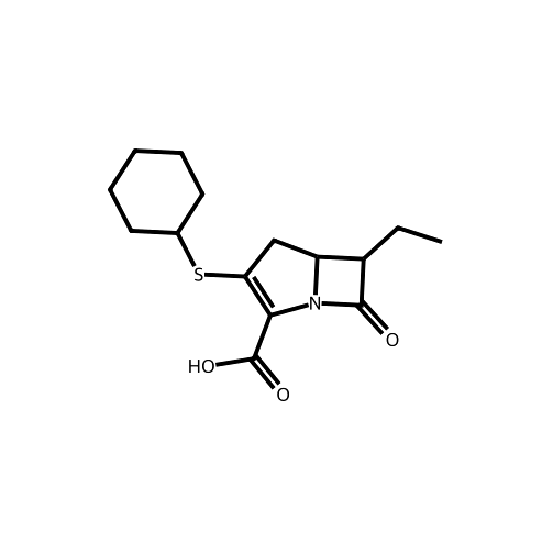 CCC1C(=O)N2C(C(=O)O)=C(SC3CCCCC3)CC12